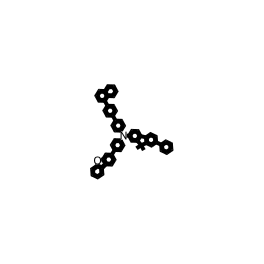 CC1(C)c2cc(-c3ccccc3)ccc2-c2ccc(N(c3ccc(-c4ccc(-c5cccc6ccccc56)cc4)cc3)c3ccc(-c4ccc5c(c4)oc4ccccc45)cc3)cc21